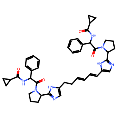 O=C(NC(C(=O)N1CCCC1c1ncc(C=CC=CCCc2cnc(C3CCCN3C(=O)C(NC(=O)C3CC3)c3ccccc3)[nH]2)[nH]1)c1ccccc1)C1CC1